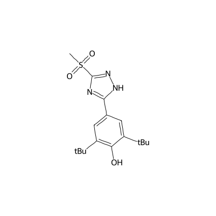 CC(C)(C)c1cc(-c2nc(S(C)(=O)=O)n[nH]2)cc(C(C)(C)C)c1O